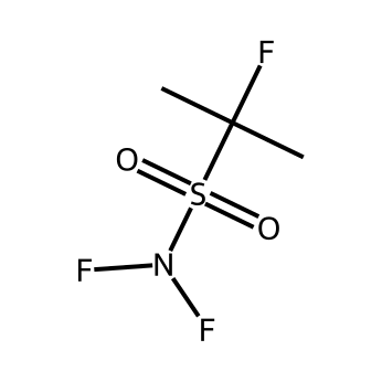 CC(C)(F)S(=O)(=O)N(F)F